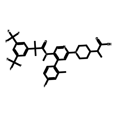 Cc1cc(F)ccc1-c1cc(N2CCC(C(C)C(=O)O)CC2)ncc1N(C)C(=O)C(C)(C)c1cc(C(F)(F)F)cc(C(F)(F)F)c1